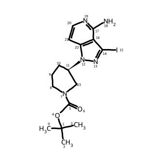 CC(C)(C)OC(=O)N1CCC[C@@H](n2nc(I)c3c(N)nccc32)C1